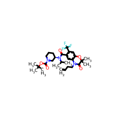 C=CCCN1C(=O)C(C)(C)Oc2cc(C(F)(F)F)c(C(=O)N(C(C)C)[C@@H]3CCCN(C(=O)OC(C)(C)C)C3)cc21